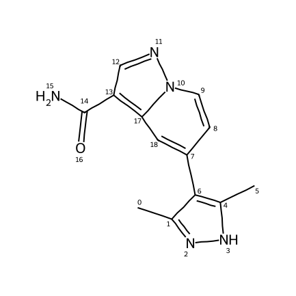 Cc1n[nH]c(C)c1-c1ccn2ncc(C(N)=O)c2c1